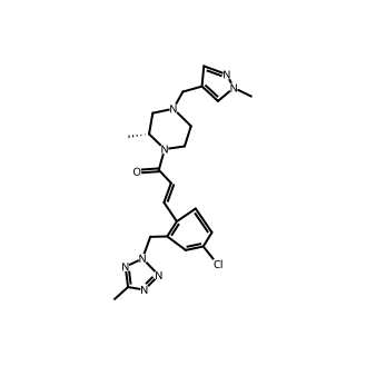 Cc1nnn(Cc2cc(Cl)ccc2/C=C/C(=O)N2CCN(Cc3cnn(C)c3)C[C@H]2C)n1